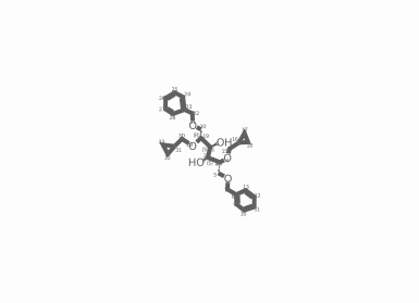 O[C@@H]([C@H](O)[C@@H](COCc1ccccc1)OCC1CC1)[C@@H](COCc1ccccc1)OCC1CC1